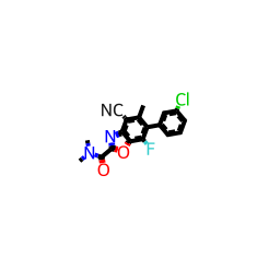 Cc1c(-c2cccc(Cl)c2)c(F)c2oc(C(=O)N(C)C)nc2c1C#N